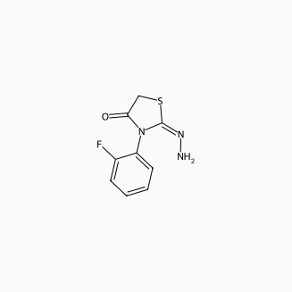 N/N=C1/SCC(=O)N1c1ccccc1F